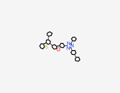 c1ccc(-c2ccc(-c3nc(-c4ccccc4)nc(-c4ccc5c(c4)oc4ccc(-c6cc(-c7ccccc7)cc7c6sc6ccccc67)cc45)n3)cc2)cc1